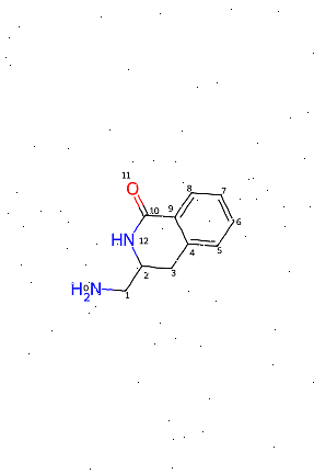 NCC1Cc2ccccc2C(=O)N1